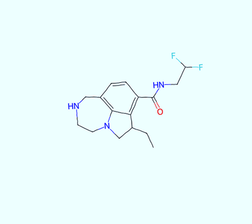 CCC1CN2CCNCc3ccc(C(=O)NCC(F)F)c1c32